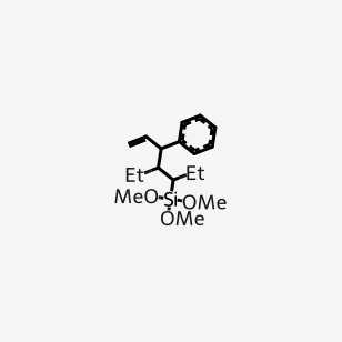 C=CC(c1ccccc1)C(CC)C(CC)[Si](OC)(OC)OC